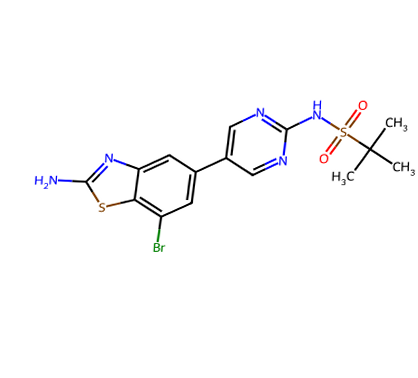 CC(C)(C)S(=O)(=O)Nc1ncc(-c2cc(Br)c3sc(N)nc3c2)cn1